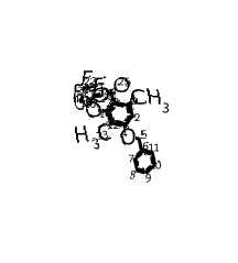 Cc1cc(OCc2ccccc2)c(C)c(OS(=O)(=O)C(F)(F)F)c1C=O